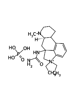 CC[N+]1(CC)CC2(NC(N)=O)C[C@@H]3C(CCCN3C)c3cccc1c32.O=P(O)(O)O